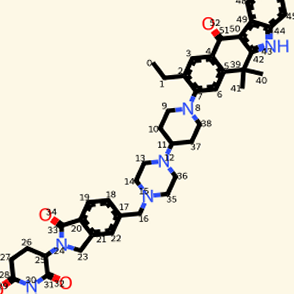 CCc1cc2c(cc1N1CCC(N3CCN(Cc4ccc5c(c4)CN(C4CCC(=O)NC4=O)C5=O)CC3)CC1)C(C)(C)c1[nH]c3ccccc3c1C2=O